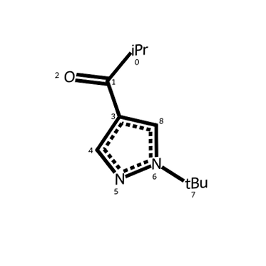 CC(C)C(=O)c1cnn(C(C)(C)C)c1